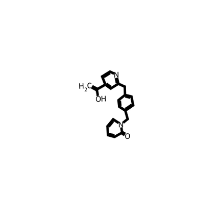 C=C(O)c1ccnc(Cc2ccc(Cn3ccccc3=O)cc2)c1